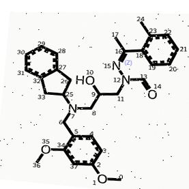 COc1ccc(CN(CC(O)CN(C=O)/N=C(/C)c2ccccc2C)C2Cc3ccccc3C2)c(OC)c1